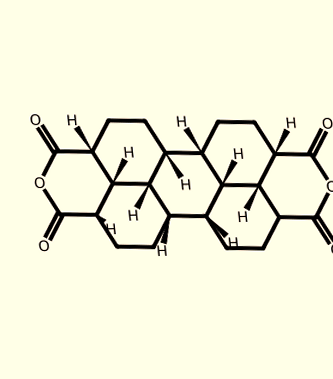 O=C1OC(=O)[C@H]2CC[C@H]3[C@H]4CC[C@H]5C(=O)OC(=O)[C@H]6CC[C@@H]([C@H]7CCC1[C@@H]2[C@H]73)[C@@H]4[C@H]65